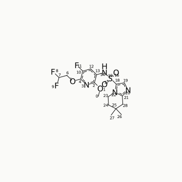 COc1nc(OCC(F)F)c(F)cc1NS(=O)(=O)c1cnc2n1CCC(C)(C)C2